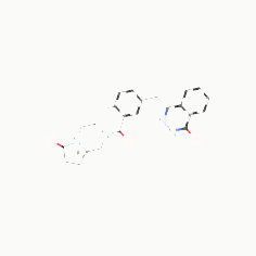 O=C(c1cc(Cc2n[nH]c(=O)c3ccccc23)ccc1F)N1CCN2C(=O)CC[C@@H]2C1